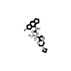 N[S@](=O)(=NC(=O)Nc1c2c(cc3c1C[C@H](F)C3)CCC2)c1cnn2c1OC[C@@H](N1CCC1)C2